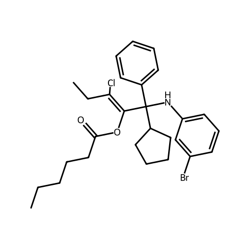 CCCCCC(=O)OC(=C(Cl)CC)C(Nc1cccc(Br)c1)(c1ccccc1)C1CCCC1